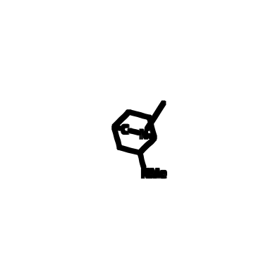 CNC1CC2CCC1N(C)C2